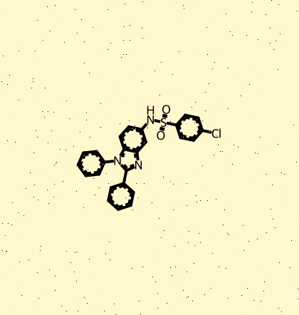 O=S(=O)(Nc1ccc2c(c1)nc(-c1ccccc1)n2-c1ccccc1)c1ccc(Cl)cc1